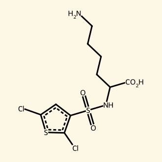 NCCCCC(NS(=O)(=O)c1cc(Cl)sc1Cl)C(=O)O